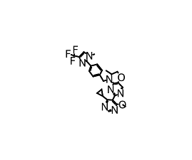 COc1ncnc(C2CC2)c1-c1ncc2c(n1)N(Cc1ccc(-c3nc(C(F)(F)F)cn3C)cc1)C(C)CO2